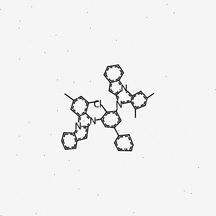 Cc1cc(C)c2c(c1)n1c3ccccc3cc1n2-c1cc(-c2ccccc2)cc(-n2c3c(C)cc(C)cc3n3c4ccccc4cc23)c1Cl